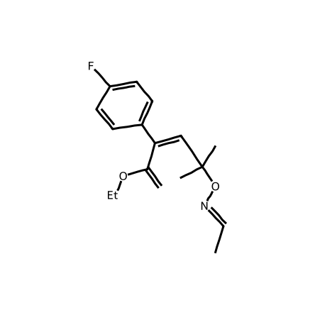 C=C(OCC)/C(=C\C(C)(C)O/N=C/C)c1ccc(F)cc1